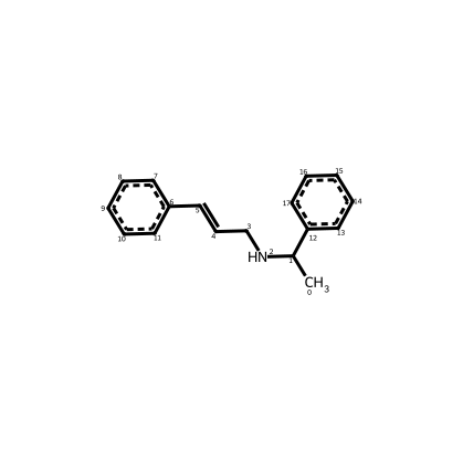 CC(NCC=Cc1ccccc1)c1ccccc1